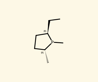 CC[C@@H]1CC[C@@H](C)P1C